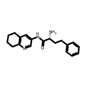 N[C@H](CCc1ccccc1)C(=O)Nc1cnc2c(c1)CCCC2